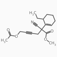 CCC1CCCC=C1C(C#N)(CC#CCOC(C)=O)C(=O)OC